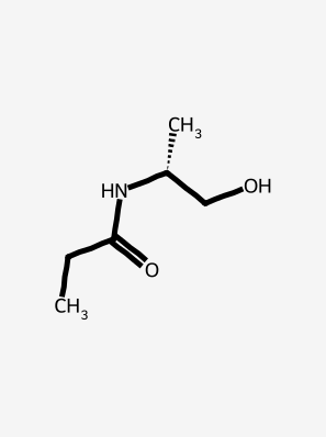 CCC(=O)N[C@H](C)CO